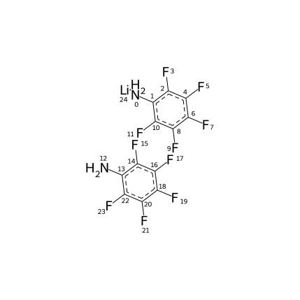 Nc1c(F)c(F)c(F)c(F)c1F.Nc1c(F)c(F)c(F)c(F)c1F.[Li]